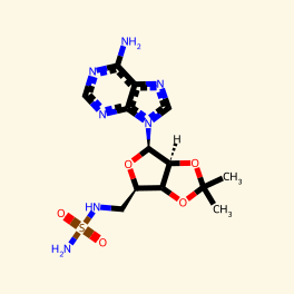 CC1(C)OC2[C@@H](CNS(N)(=O)=O)O[C@@H](n3cnc4c(N)ncnc43)[C@H]2O1